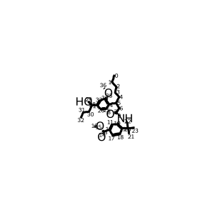 CCCCCC(CC(=O)Nc1cc(C(=O)OC)ccc1C(C)(C)C)c1ccc(C(O)CCC)cc1OC